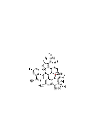 [2H]C(Nc1ccc(F)cc1C(N)=O)C(c1cc(C)cc2c(=O)n(C([2H])([2H])[2H])c3c(I)ncn3c12)c1cc(C)cc2c(=O)n(C([2H])([2H])[2H])c3c(I)ncn3c12